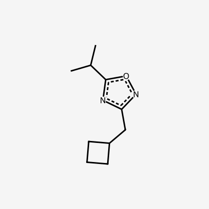 CC(C)c1nc(CC2CCC2)no1